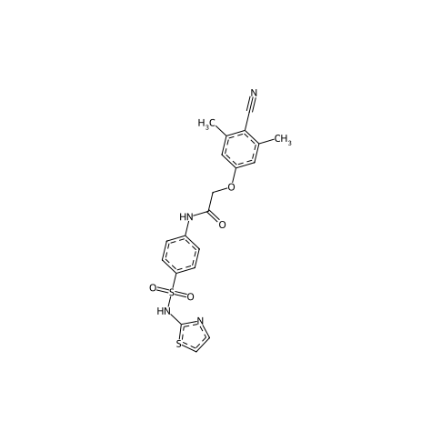 Cc1cc(OCC(=O)Nc2ccc(S(=O)(=O)Nc3nccs3)cc2)cc(C)c1C#N